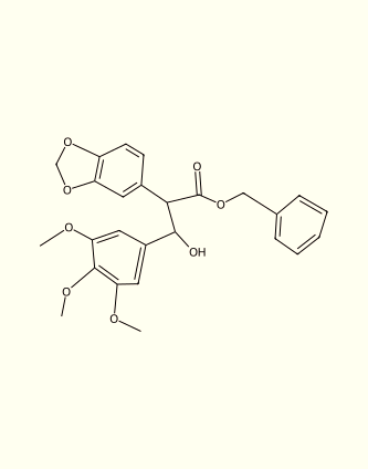 COc1cc(C(O)C(C(=O)OCc2ccccc2)c2ccc3c(c2)OCO3)cc(OC)c1OC